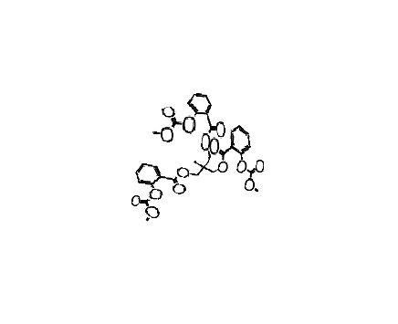 COC(=O)Oc1ccccc1C(=O)OCC(C)(COC(=O)c1ccccc1OC(=O)OC)COC(=O)c1ccccc1OC(=O)OC